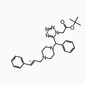 CC(C)(C)OC(=O)Cn1nnnc1C(c1ccccc1)N1CCN(C/C=C/c2ccccc2)CC1